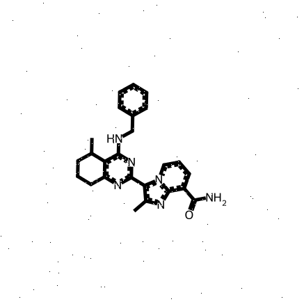 Cc1nc2c(C(N)=O)cccn2c1-c1nc2c(c(NCc3ccccc3)n1)C(C)CCC2